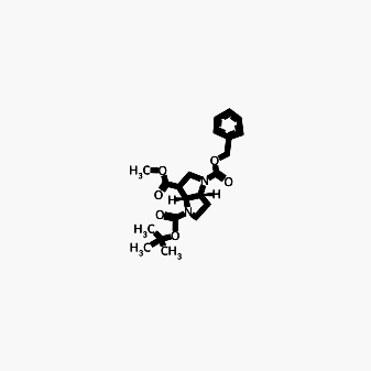 COC(=O)C1CN(C(=O)OCc2ccccc2)[C@@H]2CCN(C(=O)OC(C)(C)C)[C@H]12